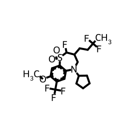 COc1cc2c(cc1C(F)(F)F)N(C1CCCC1)CC(CCC(C)(F)F)C(F)S2(=O)=O